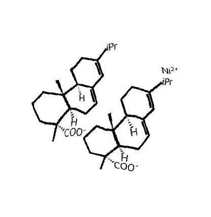 CC(C)C1=CC2=CC[C@@H]3[C@](C)(CCC[C@@]3(C)C(=O)[O-])[C@H]2CC1.CC(C)C1=CC2=CC[C@@H]3[C@](C)(CCC[C@@]3(C)C(=O)[O-])[C@H]2CC1.[Ni+2]